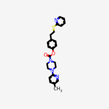 Cc1ccc(N2CCN(C(=O)Oc3ccc(CCSc4ccccn4)cc3)CC2)nc1